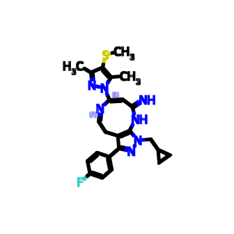 CSc1c(C)nn(C2=C/C(=N)Nc3c(c(-c4ccc(F)cc4)nn3CC3CC3)C/C=N\2)c1C